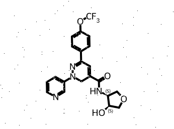 O=C(N[C@H]1COC[C@H]1O)C1=CC(c2ccc(OC(F)(F)F)cc2)=NN(c2cccnc2)C1